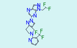 FC(F)Cn1ncc2ncc(-n3cc4c(n3)CCN(c3ncccc3C(F)(F)F)C4)nc21